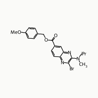 COc1ccc(COC(=O)c2ccc3nc(Br)c(N(C)C(C)C)nc3c2)cc1